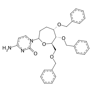 Nc1ccn(C2CC[C@H](OCc3ccccc3)[C@H](OCc3ccccc3)[C@@H](COCc3ccccc3)O2)c(=O)n1